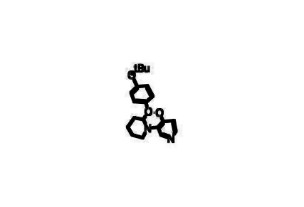 CC(C)(C)Oc1ccc(OC2CCCCN2c2cnccc2[O])cc1